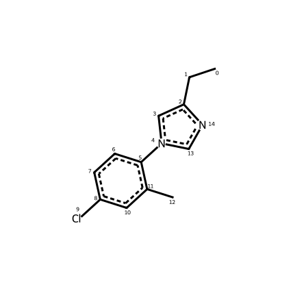 CCc1cn(-c2ccc(Cl)cc2C)cn1